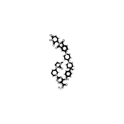 CN1CCN(C2CCCN(c3nnc(C(N)=O)c(Nc4ccc(C5(C)CCN(C6CCN(c7ccc8c(c7)C(=O)N(C7CCC(=O)NC7=O)C8=O)CC6)CC5)cc4)n3)C2)C1=O